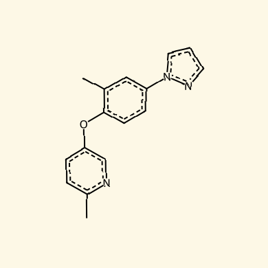 Cc1ccc(Oc2ccc(-n3cccn3)cc2C)cn1